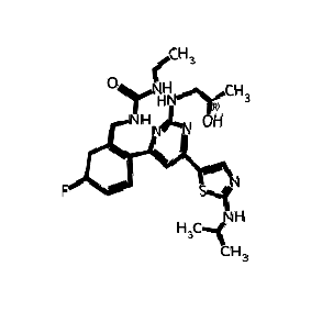 CCNC(=O)NCC1=C(c2cc(-c3cnc(NC(C)C)s3)nc(NC[C@@H](C)O)n2)C=CC(F)C1